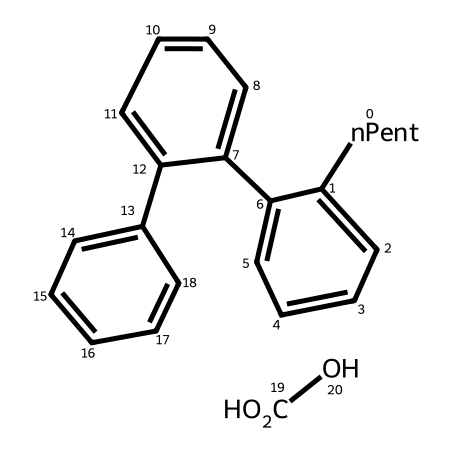 CCCCCc1ccccc1-c1ccccc1-c1ccccc1.O=C(O)O